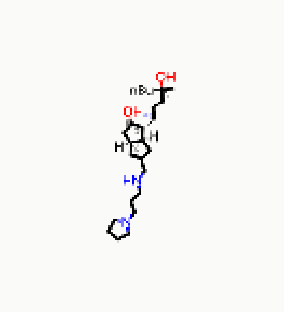 CCCC[C@](C)(O)C/C=C/[C@@H]1[C@H]2CC(CNCCCN3CCCC3)=C[C@H]2C[C@H]1O